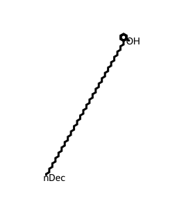 CCCCCCCCCCCCCCCCCCCCCCCCCCCCCCCCCCCCCCCCCCCCCCCCCCCCCCCCCCCCc1ccccc1O